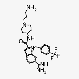 N=C(N)c1ccc2cc(C(=O)NC3CCN(CCCN)CC3)n(Cc3ccc(C(F)(F)F)cc3)c2c1